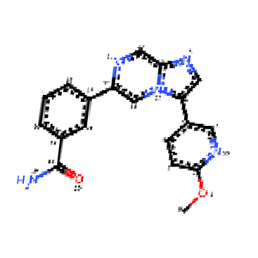 COc1ccc(-c2cnc3cnc(-c4cccc(C(N)=O)c4)cn23)cn1